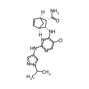 CC(C)n1cc(Nc2ncc(Cl)c(N[C@H]3[C@@H](C(N)=O)[C@@H]4C=C[C@H]3C4)n2)cn1